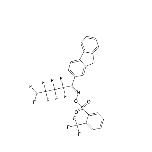 O=S(=O)(ON=C(c1ccc2c(c1)Cc1ccccc1-2)C(F)(F)C(F)(F)C(F)(F)C(F)F)c1ccccc1C(F)(F)F